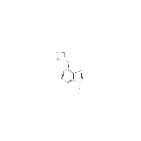 Cn1cnc2c(CN3CCC3)cccc21